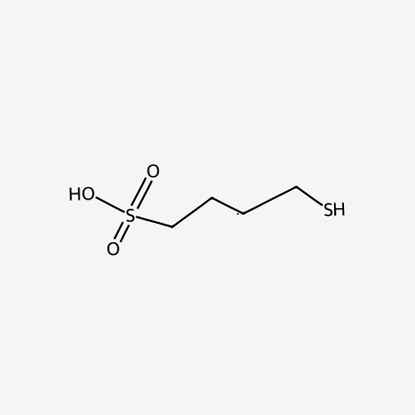 O=S(=O)(O)CC[CH]CS